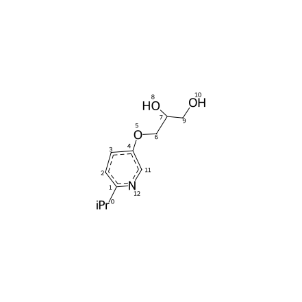 CC(C)c1ccc(OCC(O)CO)cn1